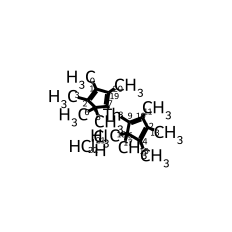 CC1=C(C)C(C)(C)[C]([Th][C]2=C(C)C(C)=C(C)C2(C)C)=C1C.Cl.Cl